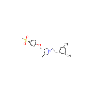 C[C@@H]1CN(CCc2cc(C#N)cc(C#N)c2)C[C@H]1COc1ccc(S(C)(=O)=O)cc1